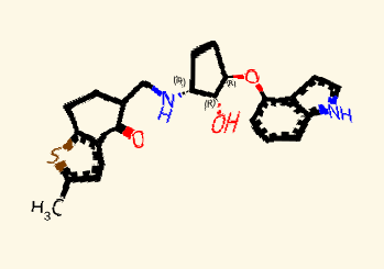 Cc1cc2c(s1)CCC(CN[C@@H]1CC[C@@H](Oc3cccc4[nH]ccc34)[C@@H]1O)C2=O